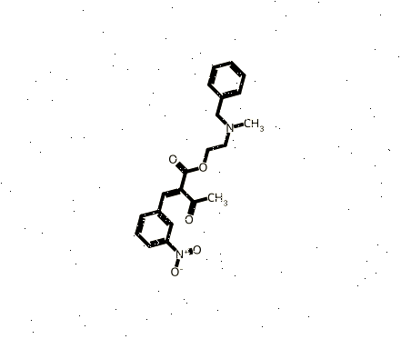 CC(=O)/C(=C\c1cccc([N+](=O)[O-])c1)C(=O)OCCN(C)Cc1ccccc1